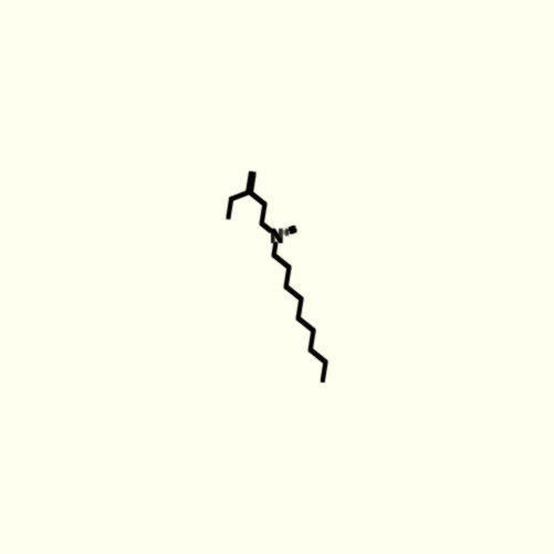 C=C(CC)CC[N+](=C)CCCCCCCCC